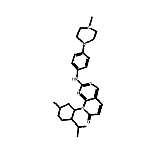 CC1CCC(C(C)C)C(n2c(=O)ccc3cnc(Nc4ccc(N5CCN(C)CC5)cc4)nc32)C1